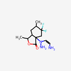 CC1OC(=O)C2(N(N)/C=C\N)CC(F)(F)C(C)CC12